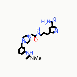 C=C(NC)Nc1cccc(CN2CCN(CC(=O)NCCCc3cncc(/C(N)=N/C)c3)CC2)c1